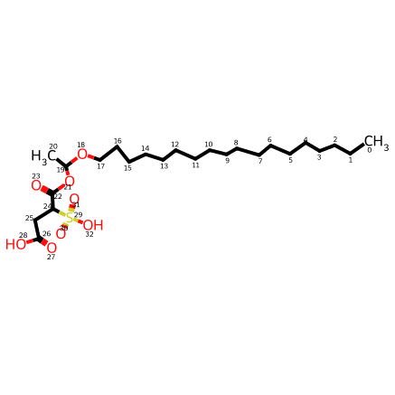 CCCCCCCCCCCCCCCCCCOC(C)OC(=O)C(CC(=O)O)S(=O)(=O)O